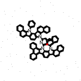 c1ccc(-c2cc(-n3c4ccc5c6ccc7ccccc7c6n(-c6ccccc6)c5c4c4ccc5ccccc5c43)nc(-n3c4c5ccccc5c5ccccc5c4c4ccc5c6ccc7ccccc7c6n(-c6ccccc6)c5c43)c2)cc1